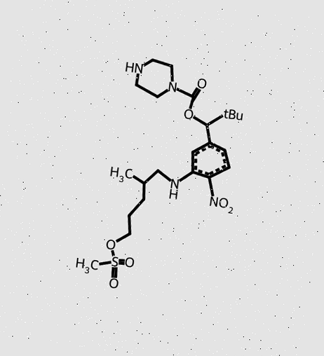 CC(CCCOS(C)(=O)=O)CNc1cc(C(OC(=O)N2CCNCC2)C(C)(C)C)ccc1[N+](=O)[O-]